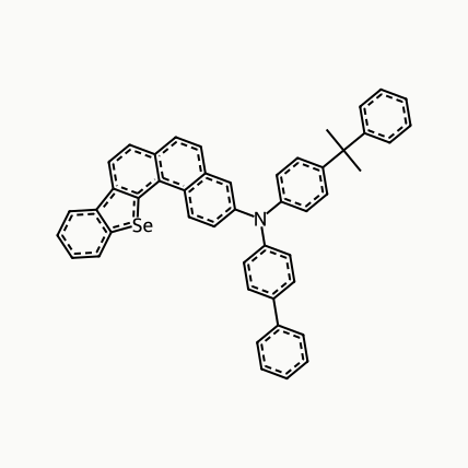 CC(C)(c1ccccc1)c1ccc(N(c2ccc(-c3ccccc3)cc2)c2ccc3c(ccc4ccc5c6ccccc6[se]c5c43)c2)cc1